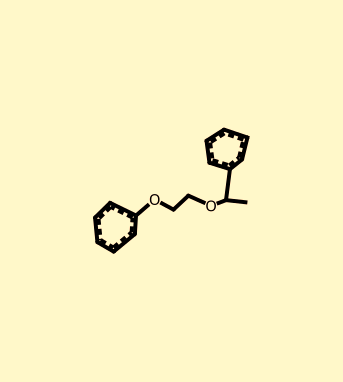 CC(OCCOc1ccccc1)c1ccccc1